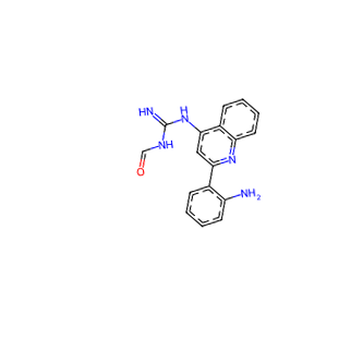 N=C(NC=O)Nc1cc(-c2ccccc2N)nc2ccccc12